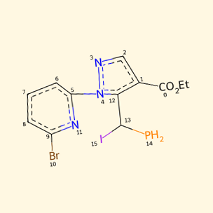 CCOC(=O)c1cnn(-c2cccc(Br)n2)c1C(P)I